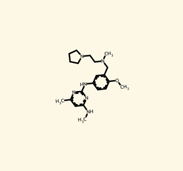 CNc1cc(C)nc(Nc2ccc(OC)c(CN(C)CCN3CCCC3)c2)n1